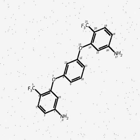 Nc1ccc(C(F)(F)F)c(Oc2cccc(Oc3cc(N)ccc3C(F)(F)F)c2)c1